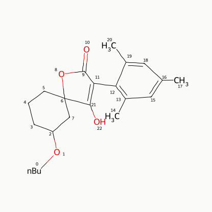 CCCCOC1CCCC2(C1)OC(=O)C(c1c(C)cc(C)cc1C)=C2O